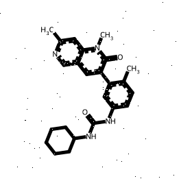 Cc1cc2c(cn1)cc(-c1cc(NC(=O)NC3CCCCC3)ccc1C)c(=O)n2C